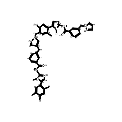 CCc1cc(-c2cnc(NC(=O)c3cccc(Cn4cccn4)c3)n2C)c(C)cc1Cn1cc(Cc2cccc(C(=O)Nc3ncc(-c4cc(C)c(C)cc4C)n3C)c2)cn1